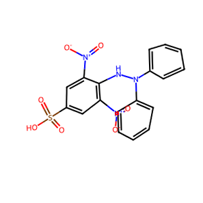 O=[N+]([O-])c1cc(S(=O)(=O)O)cc([N+](=O)[O-])c1NN(c1ccccc1)c1ccccc1